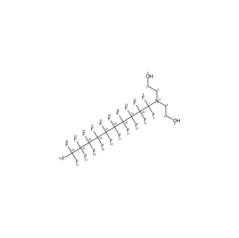 OCCN(CCO)C(F)(F)C(F)(F)C(F)(F)C(F)(F)C(F)(F)C(F)(F)C(F)(F)C(F)(F)C(F)(F)C(F)(F)F